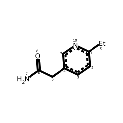 CCc1ccc([CH]C(N)=O)cn1